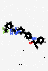 CCC(C(=O)Nc1ccc(-c2ccc3nc(Nc4ccccc4C(F)(F)F)nn3c2)cc1)c1ccccc1